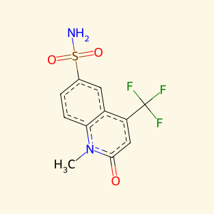 Cn1c(=O)cc(C(F)(F)F)c2cc(S(N)(=O)=O)ccc21